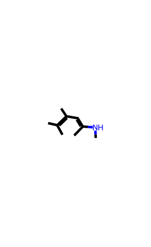 CN/C(C)=C/C(C)=C(C)C